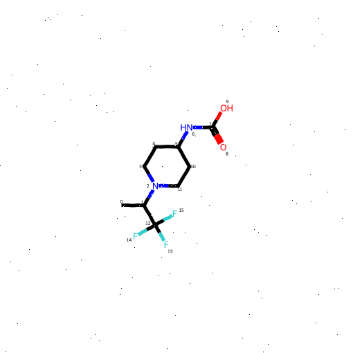 CC(N1CCC(NC(=O)O)CC1)C(F)(F)F